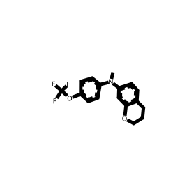 CN(c1ccc(OC(F)(F)F)cc1)c1ccc2c(c1)OCCC2